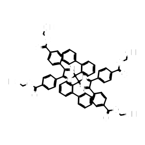 CCOC(=O)c1ccc(C2=NC(c3ccccc3-c3ccccc3)(C3(c4ccccc4-c4ccccc4)N=C(c4ccc(C(=O)OCC)cc4)C(c4ccc(C(=O)OCC)cc4)=N3)N=C2c2ccc(C(=O)OCC)cc2)cc1